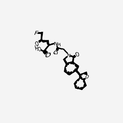 O=C(CF)CC(NC(=O)CN1Cc2ccc(-c3coc4ccccc34)cc2C1=O)C(=O)O